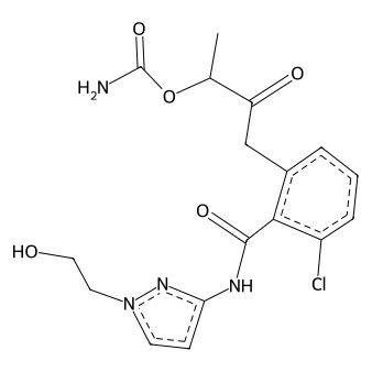 CC(OC(N)=O)C(=O)Cc1cccc(Cl)c1C(=O)Nc1ccn(CCO)n1